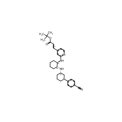 CC(C)(C)OC(=O)/C=C/c1ccnc(N[C@@H]2CCCC[C@H]2N[C@H]2CCCN(c3ccc(C#N)cc3)C2)c1